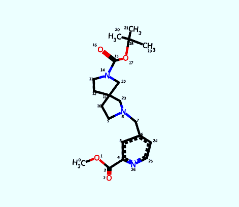 COC(=O)c1cc(CN2CCC3(CCN(C(=O)OC(C)(C)C)C3)C2)ccn1